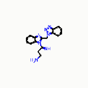 N=C(CCN)n1c(Cn2nnc3ccccc32)nc2ccccc21